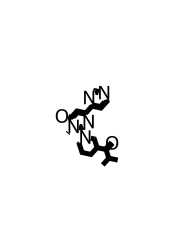 CC(C)C(=O)C1CCCN(c2nc(-c3ccncn3)cc(=O)n2C)C1